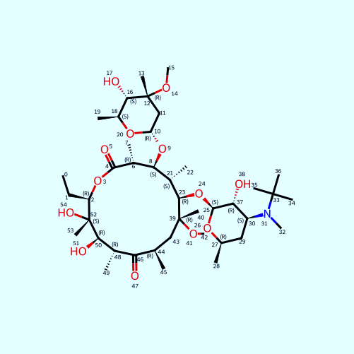 CC[C@H]1OC(=O)[C@H](C)[C@@H](O[C@H]2C[C@@](C)(OC)[C@@H](O)[C@H](C)O2)[C@H](C)[C@@H](O[C@@H]2O[C@H](C)C[C@H](N(C)C(C)(C)C)[C@H]2O)[C@](C)(OC)C[C@@H](C)C(=O)[C@H](C)[C@@H](O)[C@]1(C)O